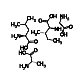 CC(C)C[C@H](N)C(=O)O.CC[C@H](C)[C@H](N)C(=O)O.C[C@H](N)C(=O)O.NCC(=O)O